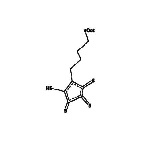 CCCCCCCCCCCCc1c(S)c(=S)c(=S)c1=S